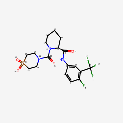 O=C(Nc1ccc(F)c(C(F)(F)F)c1)[C@@H]1CCCCN1C(=O)N1CCS(=O)(=O)CC1